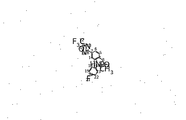 CP(=O)(Cc1ccc(-c2noc(C(F)(F)F)n2)cc1)Nc1ccc(F)cc1